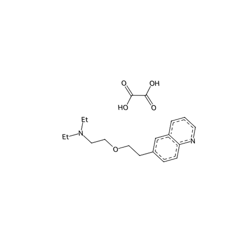 CCN(CC)CCOCCc1ccc2ncccc2c1.O=C(O)C(=O)O